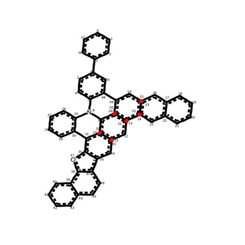 c1ccc(-c2ccc(N(c3cccc(-c4ccc5ccccc5c4)c3)c3ccccc3-c3cccc4c3oc3c5ccccc5ccc43)c(-c3ccccc3)c2)cc1